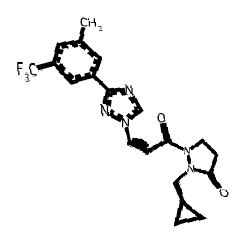 Cc1cc(-c2ncn(/C=C\C(=O)N3CCC(=O)N3CC3CC3)n2)cc(C(F)(F)F)c1